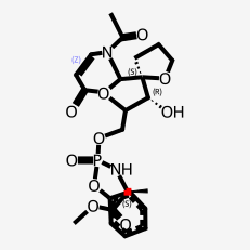 COC(=O)[C@H](C)NP(=O)(OCC1OC(N(/C=C\C(C)=O)C(C)=O)[C@]2(CCCO2)[C@@H]1O)Oc1ccccc1